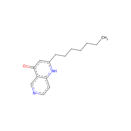 CCCCCCCc1cc(=O)c2cnccc2[nH]1